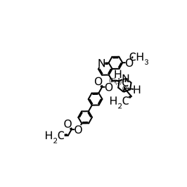 C=CC(=O)Oc1ccc(-c2ccc(C(=O)O[C@H](c3ccnc4ccc(OC)cc34)[C@@H]3CC4CCN3C[C@@H]4C=C)cc2)cc1